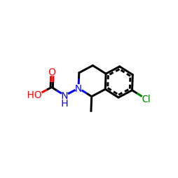 CC1c2cc(Cl)ccc2CCN1NC(=O)O